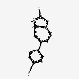 Fc1ccc(-c2ccc3c[c]([Zn])[nH]c3c2)cc1